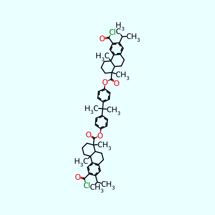 CC(C)c1cc2c(cc1C(=O)Cl)C1(C)CCCC(C)(C(=O)Oc3ccc(C(C)(C)c4ccc(OC(=O)C5(C)CCCC6(C)c7cc(C(=O)Cl)c(C(C)C)cc7CCC56)cc4)cc3)C1CC2